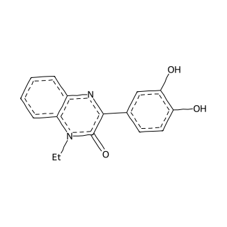 CCn1c(=O)c(-c2ccc(O)c(O)c2)nc2ccccc21